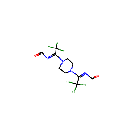 O=CN=C(N1CCN(C(=NC=O)C(Cl)(Cl)Cl)CC1)C(Cl)(Cl)Cl